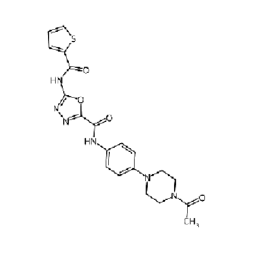 CC(=O)N1CCN(c2ccc(NC(=O)c3nnc(NC(=O)c4cccs4)o3)cc2)CC1